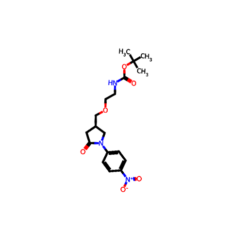 CC(C)(C)OC(=O)NCCOCC1CC(=O)N(c2ccc([N+](=O)[O-])cc2)C1